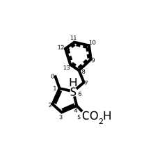 CC1=CC=C(C(=O)O)[SH]1Cc1ccccc1